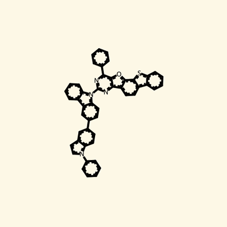 c1ccc(-c2nc(-n3c4ccccc4c4cc(-c5ccc6c(ccn6-c6ccccc6)c5)ccc43)nc3c2oc2c3ccc3c4ccccc4sc32)cc1